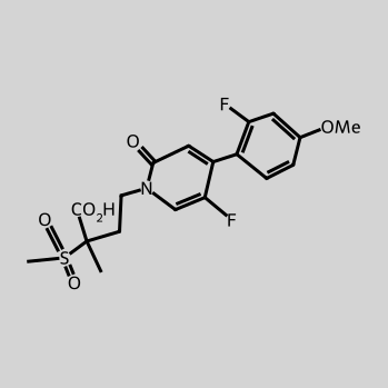 COc1ccc(-c2cc(=O)n(CCC(C)(C(=O)O)S(C)(=O)=O)cc2F)c(F)c1